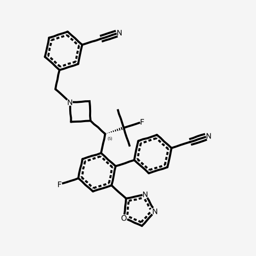 CC(C)(F)[C@H](c1cc(F)cc(-c2nnco2)c1-c1ccc(C#N)cc1)C1CN(Cc2cccc(C#N)c2)C1